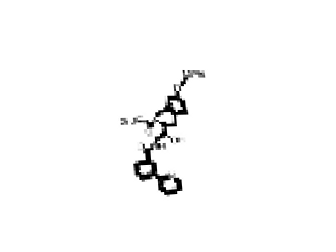 COCOc1ccc2c(c1)CN(C(=O)OC(C)(C)C)[C@H]([C@H](O)CNC(=O)c1cccc(-c3ccccn3)c1)C2